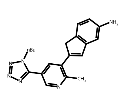 CCCCn1nnnc1-c1cnc(C)c(C2=Cc3cc(N)ccc3C2)c1